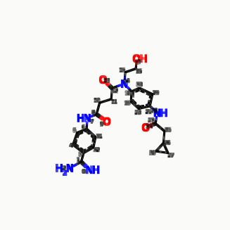 N=C(N)c1ccc(NC(=O)CCC(=O)N(CCO)c2ccc(NC(=O)CC3CC3)cc2)cc1